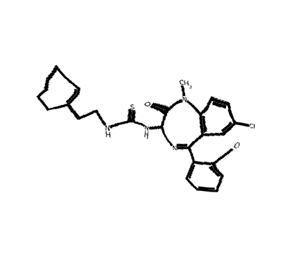 CN1C(=O)C(NC(=S)NCCC2=CCCCC2)N=C(c2ccccc2Cl)c2cc(Cl)ccc21